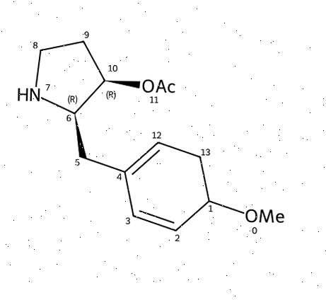 COC1C=CC(C[C@H]2NCC[C@H]2OC(C)=O)=CC1